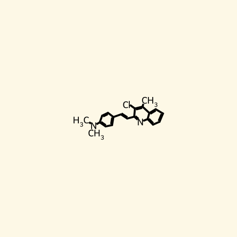 Cc1c(Cl)c(C=Cc2ccc(N(C)C)cc2)nc2ccccc12